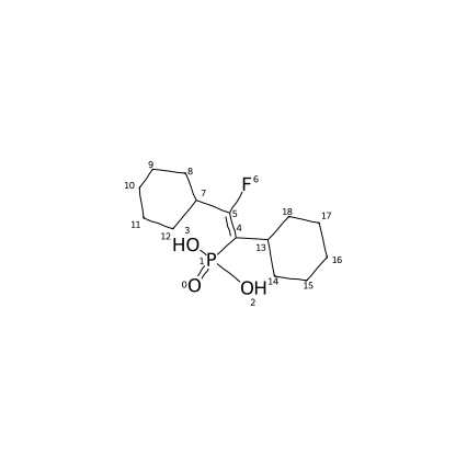 O=P(O)(O)C(=C(F)C1CCCCC1)C1CCCCC1